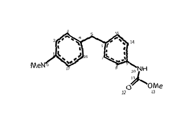 CNc1ccc(Cc2ccc(NC(=O)OC)cc2)cc1